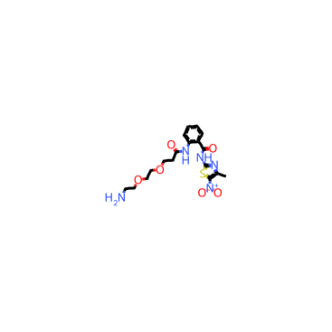 Cc1nc(NC(=O)c2ccccc2NC(=O)CCOCCOCCN)sc1[N+](=O)[O-]